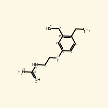 CCc1ccc(OCCNC(=N)N)cc1CS